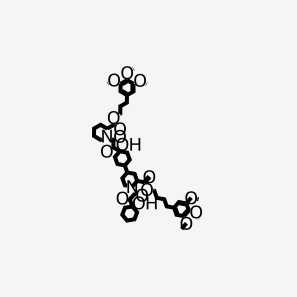 COc1cc(CCCCOC(=O)C2CC(C3CCC(O)(C(=O)C(=O)N4CCCCC4C(=O)OCCCc4cc(OC)c(OC)c(OC)c4)CC3)CCN2C(=O)C(=O)C2(O)CCCCC2)cc(OC)c1OC